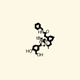 C[C@H](Cc1cccc(CC(=O)NCc2ccccc2)c1)NC[C@@H](O[Si](C)(C)C(C)(C)C)c1ccc(O)c(CO)c1